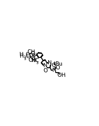 CC(C)(C)OC(=O)N(CCO)Cc1cnc2cc(-c3cccc(B4OC(C)(C)C(C)(C)O4)c3C#N)ccn2c1=O